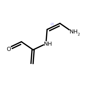 C=C(C=O)N/C=C\N